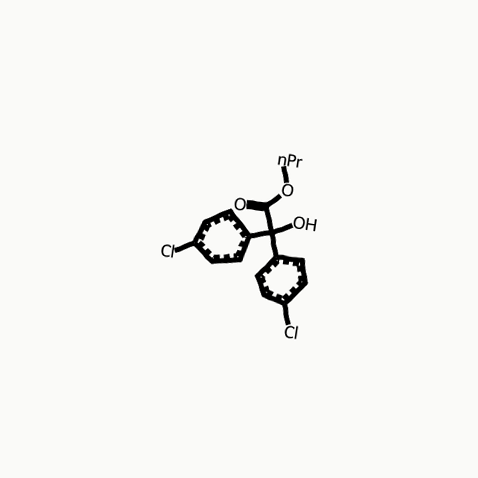 CCCOC(=O)C(O)(c1ccc(Cl)cc1)c1ccc(Cl)cc1